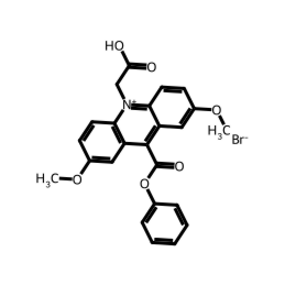 COc1ccc2c(c1)c(C(=O)Oc1ccccc1)c1cc(OC)ccc1[n+]2CC(=O)O.[Br-]